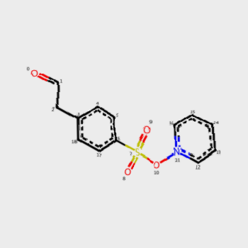 O=CCc1ccc(S(=O)(=O)O[n+]2ccccc2)cc1